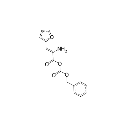 NC(=Cc1ccco1)C(=O)OC(=O)OCc1ccccc1